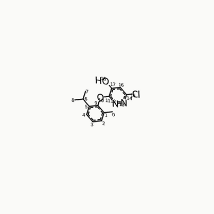 Cc1cccc(C(C)C)c1Oc1nnc(Cl)cc1O